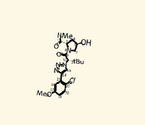 CNC(=O)[C@@H]1C[C@@H](O)CN1C(=O)[C@@H](n1cc(-c2cc(OC)ccc2Cl)nn1)C(C)(C)C